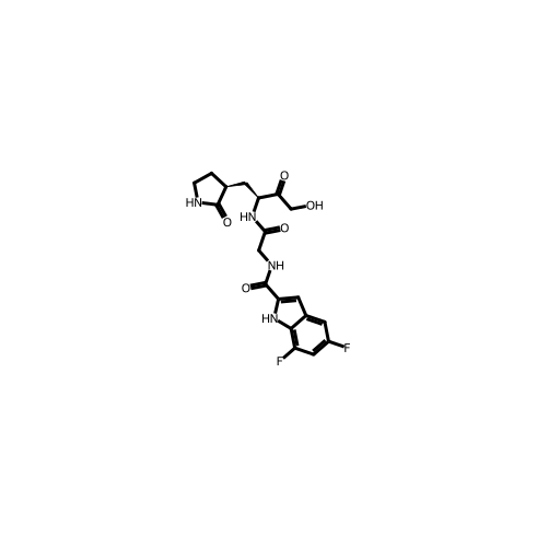 O=C(CNC(=O)c1cc2cc(F)cc(F)c2[nH]1)N[C@@H](C[C@@H]1CCNC1=O)C(=O)CO